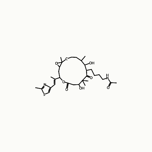 CC(=O)NCCCCC1C(=O)C(C)(C)[C@@H](O)CC(=O)OC(/C(C)=C/c2csc(C)n2)CC2OC2(C)CCCC(C)C1O